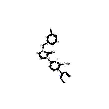 C=C/C(=C\C)c1ccc(-n2ccn(Cc3cccc(C)c3)c2=O)nc1OC